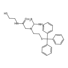 BC(N)N(CCSC(c1ccccc1)(c1ccccc1)c1ccccc1)CC(=O)NCCS